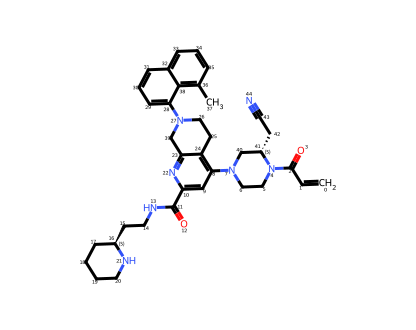 C=CC(=O)N1CCN(c2cc(C(=O)NCC[C@@H]3CCCCN3)nc3c2CCN(c2cccc4cccc(C)c24)C3)C[C@@H]1CC#N